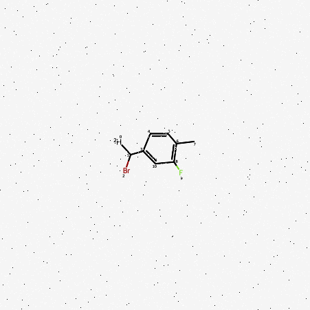 [2H]C(Br)c1ccc(C)c(F)c1